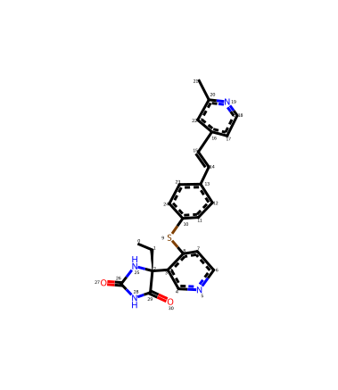 CC[C@]1(c2cnccc2Sc2ccc(/C=C/c3ccnc(C)c3)cc2)NC(=O)NC1=O